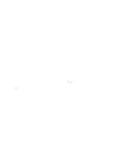 CC(=CCNCCc1ccccc1)C(=O)O